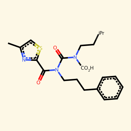 Cc1csc(C(=O)N(CCCc2ccccc2)C(=O)N(CCC(C)C)C(=O)O)n1